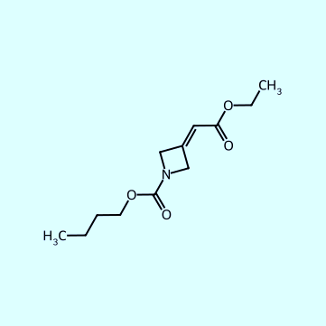 CCCCOC(=O)N1CC(=CC(=O)OCC)C1